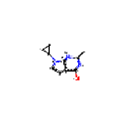 Cc1nc(O)c2ccn(C3CC3)c2n1